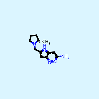 C[C@H]1CCCN1Cc1cc2nnc(N)cc2[nH]1